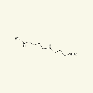 CC(=O)NCCCNCCCCNC(C)C